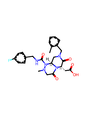 Cc1ccccc1CN1C[C@H]2N(C(=O)CN(C)N2C(=O)NCc2ccc(F)cc2)[C@@H](CC(=O)O)C1=O